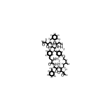 CC(CCOc1ccc(C[C@H](NC(=O)[C@H](C)N)C(=O)N[C@@H](Cc2ccccc2)C(=O)[C@@]2(C)CO2)cc1)CC[C@H](NC(=O)[C@H](Cc1ccccc1)NC(=O)[C@@H](N)Cc1ccccc1)C(=O)[C@@]1(C)CO1